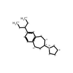 CCC(CC)c1ccc2c(c1)CCC(N1CCCC1)CC2